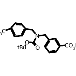 CC(C)(C)OC(=O)N(Cc1ccc(C(F)(F)F)cc1)Cc1cccc(C(=O)O)c1